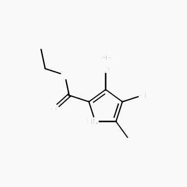 Br.CCOC(=O)c1[nH]c(C)c(Cl)c1Br